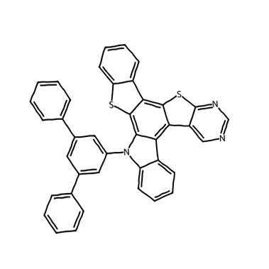 c1ccc(-c2cc(-c3ccccc3)cc(-n3c4ccccc4c4c5c6cncnc6sc5c5c6ccccc6sc5c43)c2)cc1